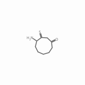 NC1CCCCCC(=O)CC1=S